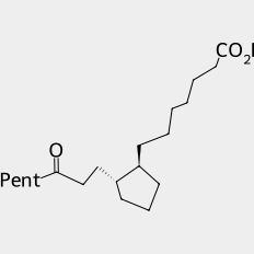 CCCCCC(=O)CC[C@H]1CCC[C@@H]1CCCCCCC(=O)O